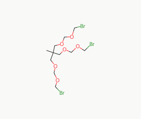 CC(COCOCBr)(COCOCBr)COCOCBr